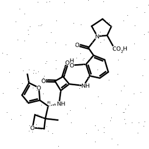 Cc1ccc([C@H](Nc2c(Nc3cccc(C(=O)N4CCCC4C(=O)O)c3O)c(=O)c2=O)C2(C)COC2)o1